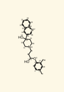 Cc1ccc(OC(O)CCN2CCC(O)(c3cnc4ccccc4c3)CC2)c(C)c1